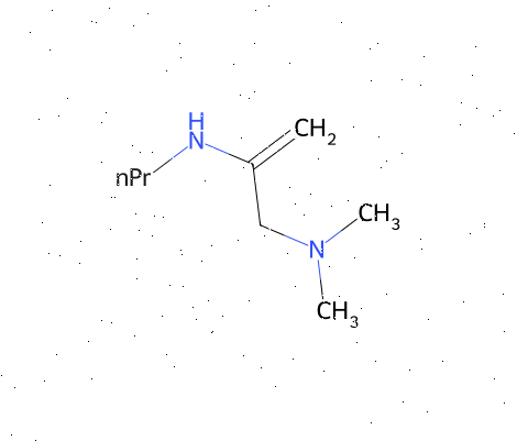 C=C(CN(C)C)NCCC